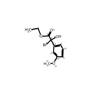 CCOC(=O)C(O)(Br)c1cccc(OC)c1